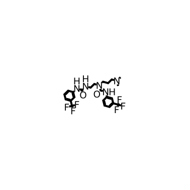 CN(C)CCCN(CCNC(=O)Nc1cccc(C(F)(F)F)c1)C(=O)Nc1cccc(C(F)(F)F)c1